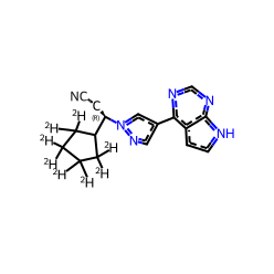 [2H]C1([2H])C([C@@H](CC#N)n2cc(-c3ncnc4[nH]ccc34)cn2)C([2H])([2H])C([2H])([2H])C1([2H])[2H]